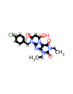 CCn1c(=O)c2c(nc3n(Cc4ccc(Cl)cc4)c(=O)cc(O)n23)n(CC)c1=O